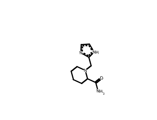 NC(=O)C1C[CH]CCN1Cc1ncc[nH]1